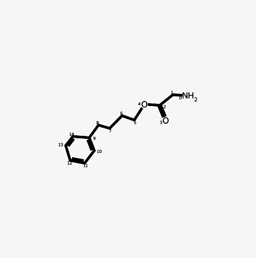 NCC(=O)OCCCCc1ccccc1